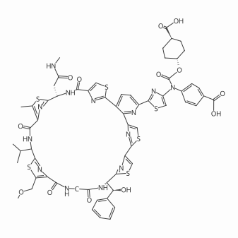 CNC(=O)C[C@@H]1NC(=O)c2csc(n2)-c2ccc(-c3nc(N(C(=O)O[C@H]4CC[C@H](C(=O)O)CC4)c4ccc(C(=O)O)cc4)cs3)nc2-c2csc(n2)-c2csc(n2)[C@H]([C@@H](O)c2ccccc2)NC(=O)CNC(=O)c2nc(sc2COC)C(C(C)C)NC(=O)c2nc1sc2C